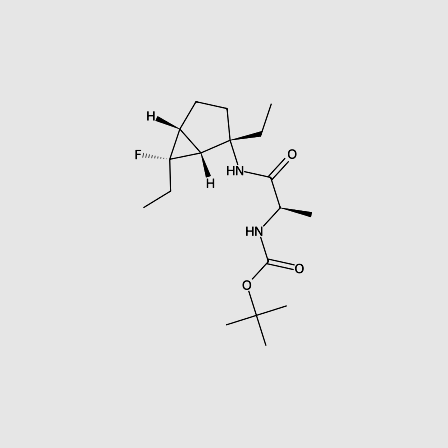 CC[C@]1(NC(=O)[C@@H](C)NC(=O)OC(C)(C)C)CC[C@@H]2[C@H]1[C@@]2(F)CC